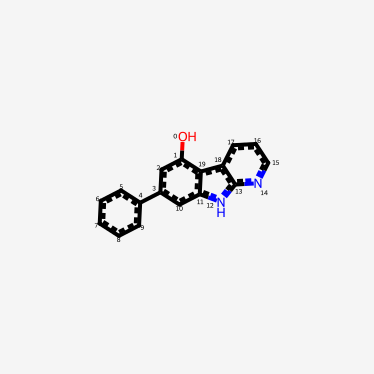 Oc1cc(-c2ccccc2)cc2[nH]c3ncccc3c12